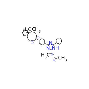 C/C=C\C=C(/C)C1N=C(C2=CCC(C3=C/CC(C)(C)c4ccccc4C/C=C\3)C=C2)N=C(C2=CC=CCC2)N1